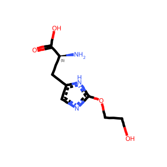 N[C@@H](Cc1cnc(OCCO)[nH]1)C(=O)O